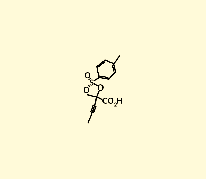 CC#CC(C)(OS(=O)(=O)c1ccc(C)cc1)C(=O)O